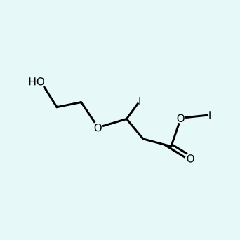 O=C(CC(I)OCCO)OI